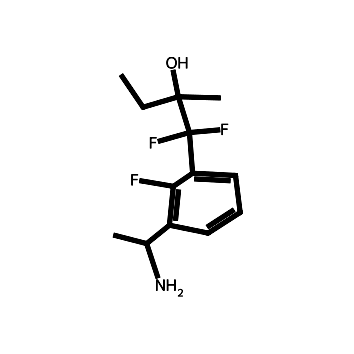 CCC(C)(O)C(F)(F)c1cccc(C(C)N)c1F